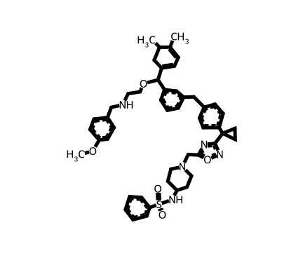 COc1ccc(CNCCOC(C2=CC=C(C)C(C)C2)c2cccc(Cc3ccc(C4(c5noc(CN6CCC(NS(=O)(=O)c7ccccc7)CC6)n5)CC4)cc3)c2)cc1